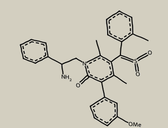 COc1cccc(-c2c(C)c(C(c3ccccc3C)=S(=O)=O)c(C)n(CC(N)c3ccccc3)c2=O)c1